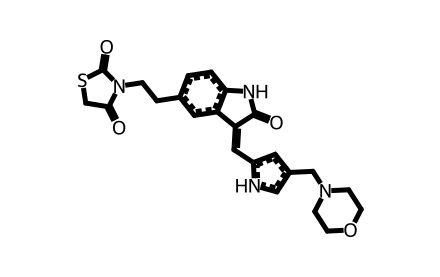 O=C1Nc2ccc(CCN3C(=O)CSC3=O)cc2C1=Cc1cc(CN2CCOCC2)c[nH]1